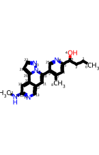 CCCC(O)c1cc(C)c(-c2cc3cnc(NC)cc3c3ccnn23)cn1